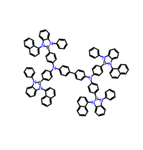 c1ccc(N2B(c3ccc(N(c4ccc(B5N(c6ccccc6)c6ccccc6N5c5cccc6ccccc56)cc4)c4ccc(-c5ccc(N(c6ccc(B7N(c8ccccc8)c8ccccc8N7c7cccc8ccccc78)cc6)c6ccc(B7N(c8ccccc8)c8ccccc8N7c7cccc8ccccc78)cc6)cc5)cc4)cc3)N(c3cccc4ccccc34)c3ccccc32)cc1